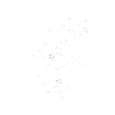 CCC(CCC[Si](C)(O[SiH](C)CO[Si](OC)(OC)OC)O[SiH](C)CO[Si](OC)(OC)OC)[Si](C)(CCC[Si](C)(O[Si](C)(C)O[Si](OC)(OC)OC)O[Si](C)(C)O[Si](OC)(OC)OC)CCC[Si](C)(O[Si](C)(C)O[Si](OC)(OC)OC)O[Si](C)(C)O[Si](OC)(OC)OC